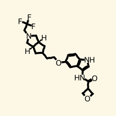 O=C(Nc1c[nH]c2ccc(OCCC3C[C@@H]4CN(CC(F)(F)F)C[C@@H]4C3)cc12)C1COC1